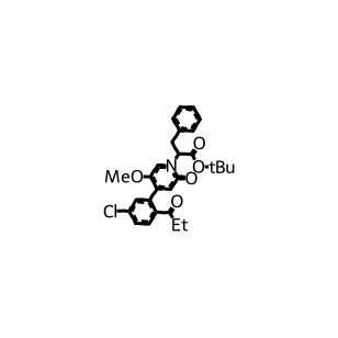 CCC(=O)c1ccc(Cl)cc1-c1cc(=O)n(C(Cc2ccccc2)C(=O)OC(C)(C)C)cc1OC